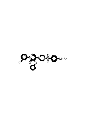 CC(=O)Nc1ccc(S(=O)(=O)N2CCN(c3cnn(-c4cccc(Cl)c4)c(=O)c3OC3CCCC3)CC2)cc1